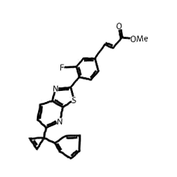 COC(=O)C=Cc1ccc(-c2nc3ccc(C4(c5ccccc5)C=C4)nc3s2)c(F)c1